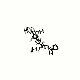 Cc1nc(CNC2CCCCC2)sc1-c1csc(-c2cc(O)c(C(=O)O)cc2F)n1